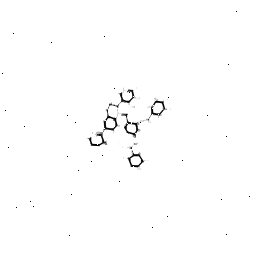 Cc1cccnc1-c1ccc2c(c1)CCC(c1cccnc1)N2C(=O)c1ccc(OCc2ccccc2)cc1OCc1ccccc1